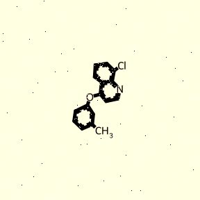 Cc1cccc(Oc2ccnc3c(Cl)cccc23)c1